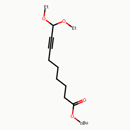 CCCCOC(=O)CCCCCC#CC(OCC)OCC